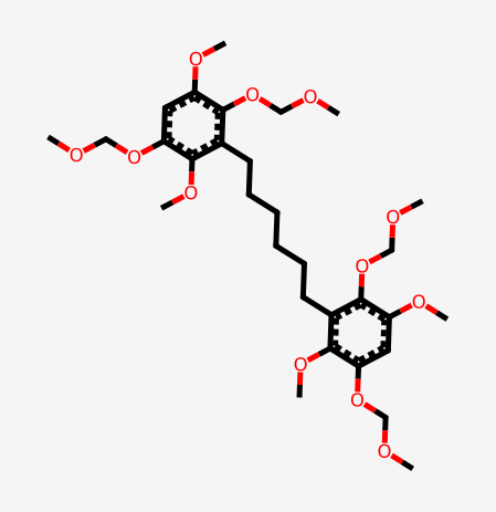 COCOc1cc(OC)c(OCOC)c(CCCCCCc2c(OC)c(OCOC)cc(OC)c2OCOC)c1OC